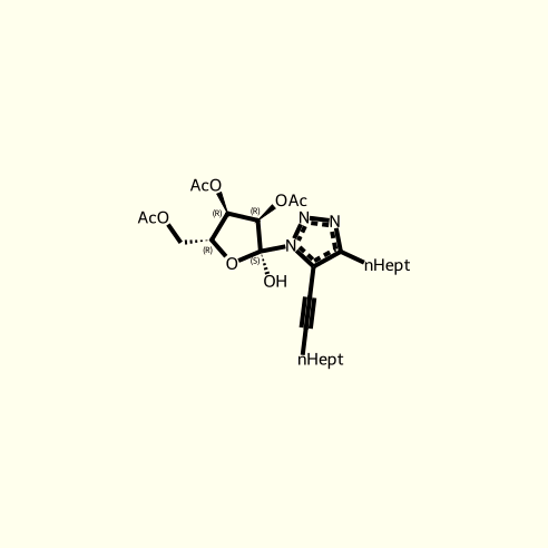 CCCCCCCC#Cc1c(CCCCCCC)nnn1[C@@]1(O)O[C@H](COC(C)=O)[C@@H](OC(C)=O)[C@H]1OC(C)=O